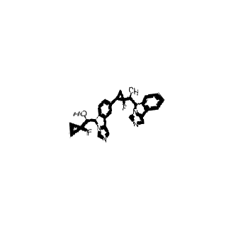 O[C@H]([C@@H]1c2ccc(C3CC3(F)[C@@H](O)[C@H]3c4ccccc4-c4cncn43)cc2-c2cncn21)C1(F)CC1